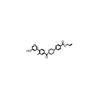 C=CCOC(=O)c1ccc(N2CCN(C(=O)c3ccc(-c4cncc(O)c4)c(C)c3)CC2)cc1